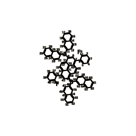 Fc1ccccc1-c1cc(B(c2ccc3ccccc3c2)c2ccc3ccccc3c2)c2ccc3c(-c4ccccc4F)cc(B(c4ccc5ccccc5c4)c4ccc5ccccc5c4)c4ccc1c2c43